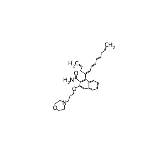 C=CCC=CC=CC=C(CC=C)c1c(C(N)=O)c(OCCCN2CCOCC2)cc2ccccc12